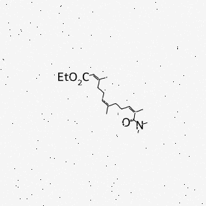 CCOC(=O)C=C(C)CCC=C(C)CCC=C(C)C(=O)N(C)C